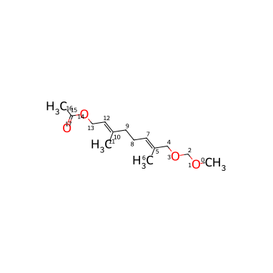 COCOC/C(C)=C/CC/C(C)=C/COC(C)=O